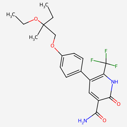 CCOC(C)(CC)COc1ccc(-c2cc(C(N)=O)c(=O)[nH]c2C(F)(F)F)cc1